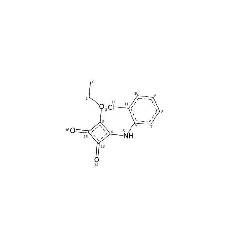 CCOc1c(Nc2ccccc2Cl)c(=O)c1=O